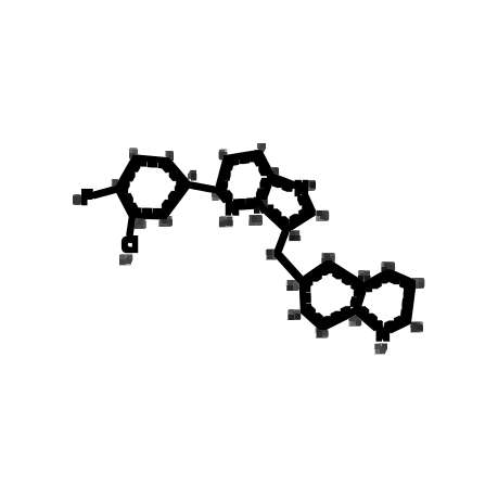 Fc1ccc(-c2ccc3ncc(Cc4ccc5ncccc5c4)n3n2)cc1Cl